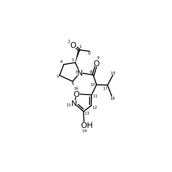 CC(=O)[C@@H]1CCCN1C(=O)C(c1cc(O)no1)C(C)C